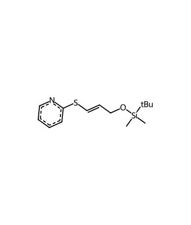 CC(C)(C)[Si](C)(C)OCC=CSc1ccccn1